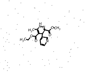 CCOC(=O)C1=C(C)NN=C(C(=O)OC)C1c1cccnc1